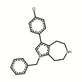 Clc1ccc(-c2cn(Cc3ccccc3)c3c2CCNCC3)cc1